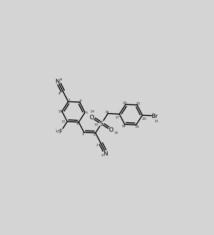 N#C/C(=C/c1ccc(C#N)cc1F)S(=O)(=O)Cc1ccc(Br)cc1